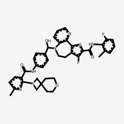 Cc1ccc(C(=O)Nc2ccc(C(O)N3CCc4c(sc(C(=O)Nc5c(C)cccc5F)c4F)-c4ncccc43)cc2)c(N2CC3(CCOCC3)C2)n1